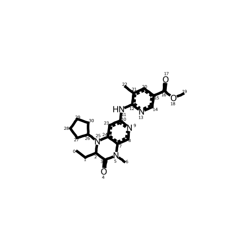 CCC1C(=O)N(C)c2cnc(Nc3ncc(C(=O)OC)cc3C)cc2N1C1CCCC1